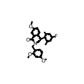 COc1ccc(Cn2cc(-c3c(C)cc(F)cc3C)c3ccc(OC)cc3c2=O)c(OC)c1